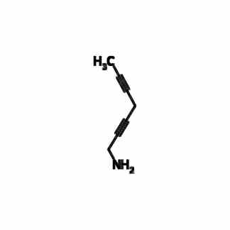 CC#CCC#CCN